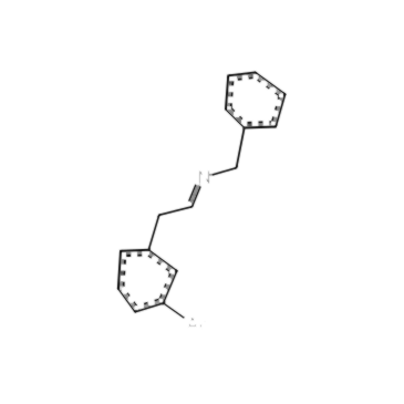 CC(=O)c1cccc(CC=NCc2ccccc2)c1